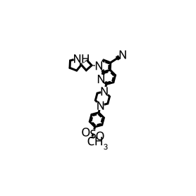 CS(=O)(=O)c1ccc(N2CCN(c3ccc4c(C#N)cn([C@H]5C[C@@]6(CCCN6)C5)c4n3)CC2)cc1